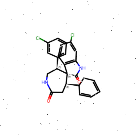 O=C1C[C@H](C2C=CC=CC2)[C@@]2(C(=O)Nc3cc(Cl)ccc32)[C@H](c2cccc(Cl)c2)CN1